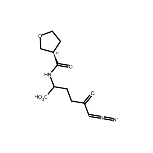 [N-]=[N+]=CC(=O)CCC(NC(=O)[C@@H]1CCOC1)C(=O)O